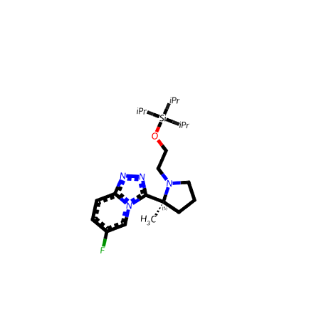 CC(C)[Si](OCCN1CCC[C@@]1(C)c1nnc2ccc(F)cn12)(C(C)C)C(C)C